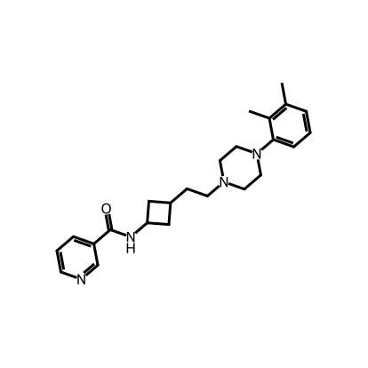 Cc1cccc(N2CCN(CCC3CC(NC(=O)c4cccnc4)C3)CC2)c1C